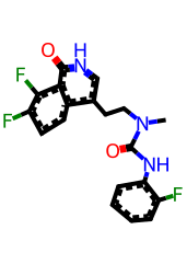 CN(CCc1c[nH]c(=O)c2c(F)c(F)ccc12)C(=O)Nc1ccccc1F